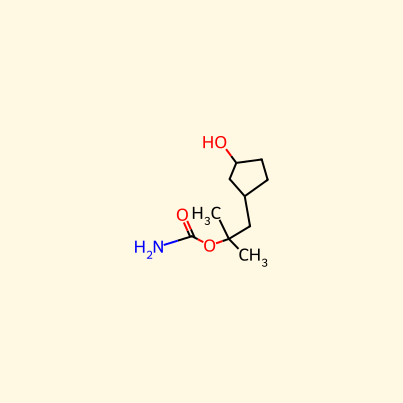 CC(C)(CC1CCC(O)C1)OC(N)=O